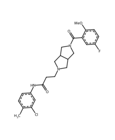 COc1ccc(F)cc1C(=O)N1CC2CN(CCC(=O)Nc3ccc(C)c(Cl)c3)CC2C1